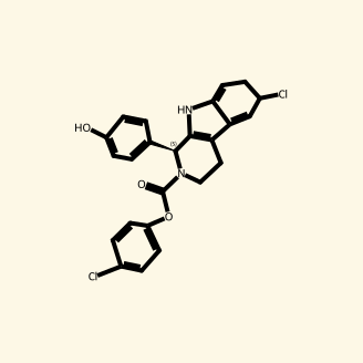 O=C(Oc1ccc(Cl)cc1)N1CCc2c([nH]c3c2=CC(Cl)CC=3)[C@@H]1c1ccc(O)cc1